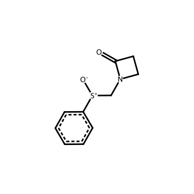 O=C1CCN1C[S+]([O-])c1ccccc1